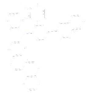 c1ccc2cc(-c3ccc(N(c4ccc5ccc6c7ccccc7ccc6c5c4)c4cccc5oc6ccccc6c45)cc3)ccc2c1